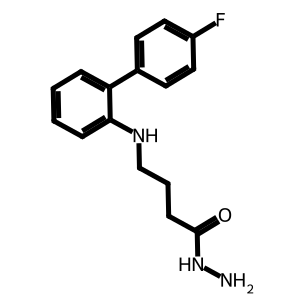 NNC(=O)CCCNc1ccccc1-c1ccc(F)cc1